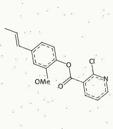 CC=Cc1ccc(OC(=O)c2cccnc2Cl)c(OC)c1